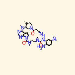 C[C@@H]1CCN(C(=O)CC#N)C[C@@H]1N(C)c1ncnc2c1ccn2C(=O)N(C)CCN(C)C(=O)Nc1cc(N(C)C)ccc1N